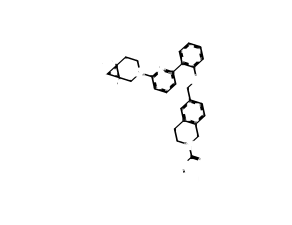 CC(C)(C)OC(=O)N1CCc2cc(COc3ccccc3-c3cccc(N4CC[C@@]5(C(=O)O)C[C@H]5C4)n3)ccc2C1